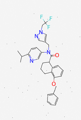 CC(C)c1ccc(N(Cc2cnn(CC(F)(F)F)c2)C(=O)C2CCCc3c(OCc4ccccc4)cccc32)cn1